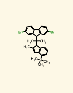 CC1=Cc2c(cccc2[Si](C)(C)C)C1C(C)(C)C1c2cc(Br)ccc2-c2ccc(Br)cc21